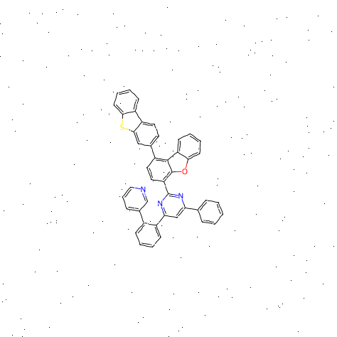 c1ccc(-c2cc(-c3ccccc3-c3cccnc3)nc(-c3ccc(-c4ccc5c(c4)sc4ccccc45)c4c3oc3ccccc34)n2)cc1